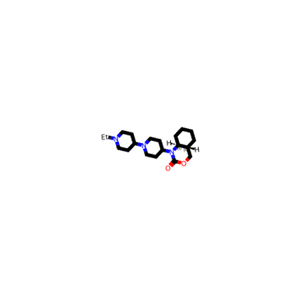 CCN1CCC(N2CCC(N3C(=O)OC[C@H]4CCCC[C@@H]43)CC2)CC1